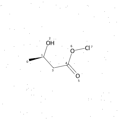 C[C@@H](O)CC(=O)OCl